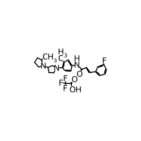 Cc1cc(NC(=O)/C=C/c2cccc(F)c2)ccc1N1CCC(N2CCCC2C)C1.O=C(O)C(F)(F)F